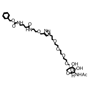 CC(=O)N[C@H]1[C@H]2OC[C@](COCCOCCOCCOCCn3cc(COCCNC(=O)CCCNC(=O)OCc4ccccc4)nn3)(O2)[C@H](O)[C@@H]1O